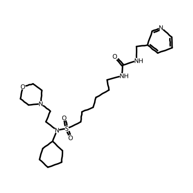 O=C(NCCCCCCS(=O)(=O)N(CCN1CCOCC1)C1CCCCC1)NCc1cccnc1